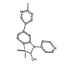 Cc1ncc(-c2ccc3c(c2)N(c2ccncc2)C(O)C3(C)C)cn1